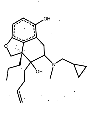 C=CCCC1(O)C(N(C)CC2CC2)Cc2c(O)ccc3c2[C@@]1(CCC)CO3